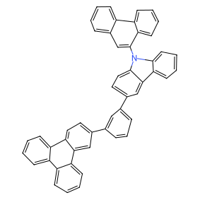 c1cc(-c2ccc3c4ccccc4c4ccccc4c3c2)cc(-c2ccc3c(c2)c2ccccc2n3-c2cc3ccccc3c3ccccc23)c1